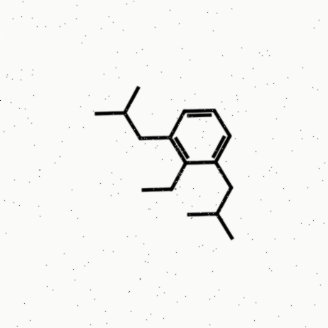 C[CH]c1c(CC(C)C)cccc1CC(C)C